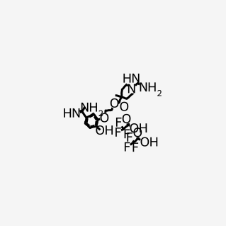 CC1(C(=O)OCCOc2cc(C(=N)N)ccc2O)CCN(C(=N)N)CC1.O=C(O)C(F)(F)F.O=C(O)C(F)(F)F